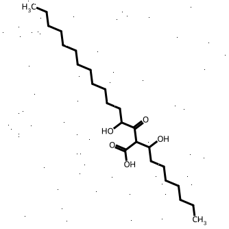 CCCCCCCCCCCCC(O)C(=O)C(C(=O)O)C(O)CCCCCCC